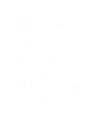 COc1ccc(CN2CC/C(=C\c3cnnc(N(Cc4ccc(OC)cc4OC)C(=O)OC(C)(C)C)c3)C2=O)c(OC)c1